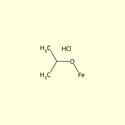 CC(C)[O][Fe].Cl